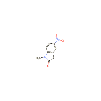 CN1C(=O)Cc2cc([N+](=O)[O-])ccc21